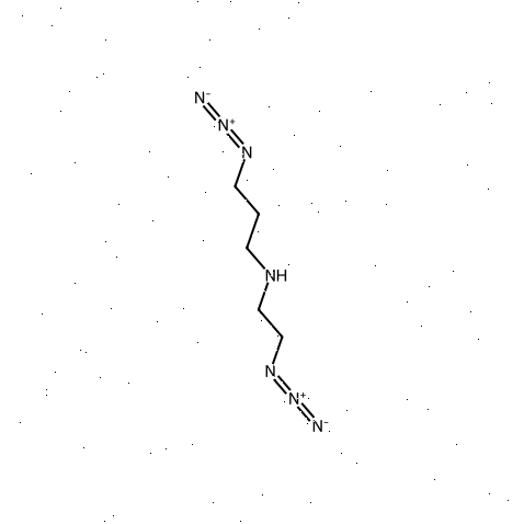 [N-]=[N+]=NCCCNCCN=[N+]=[N-]